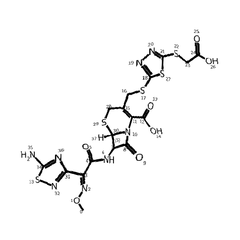 CON=C(C(=O)NC1C(=O)N2C(C(=O)O)=C(CSc3nnc(SCC(=O)O)s3)CS[C@@H]12)c1nsc(N)n1